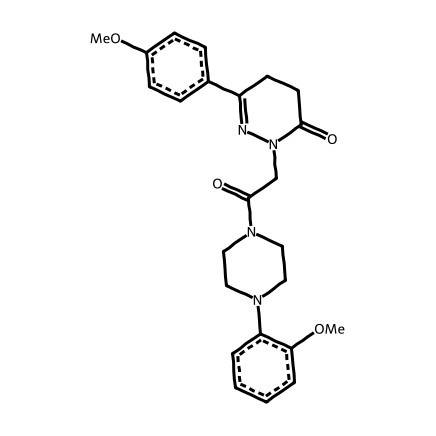 COc1ccc(C2=NN(CC(=O)N3CCN(c4ccccc4OC)CC3)C(=O)CC2)cc1